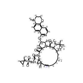 CC[C@@H]1C[C@H](C)CC/C=C\[C@@H]2C[C@@]2(C(=O)NS(=O)(=O)C2(C)CC2)NC(=O)[C@@H]2C[C@@H](Oc3nccc4c5c(ccc34)N(C)CCO5)CN2C(=O)[C@H]1N(C(=O)O)C(C)(C)C(F)(F)F